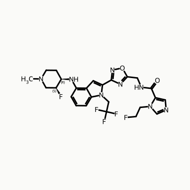 CN1CC[C@@H](Nc2cccc3c2cc(-c2noc(CNC(=O)c4cncn4CCF)n2)n3CC(F)(F)F)[C@@H](F)C1